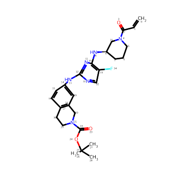 C=CC(=O)N1CCC[C@@H](Nc2nc(Nc3ccc4c(c3)CN(C(=O)OC(C)(C)C)CC4)ncc2F)C1